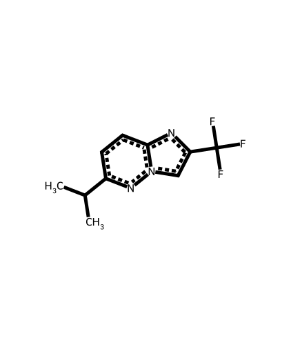 CC(C)c1ccc2nc(C(F)(F)F)cn2n1